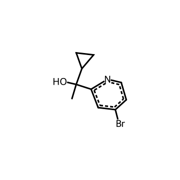 CC(O)(c1cc(Br)ccn1)C1CC1